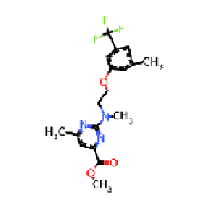 COC(=O)c1cc(C)nc(N(C)CCOc2cc(C)cc(C(F)(F)F)c2)n1